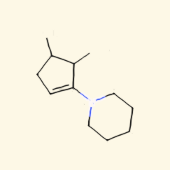 CC1CC=C(N2CCCCC2)C1C=O